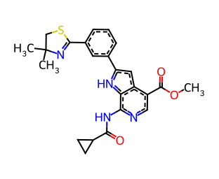 COC(=O)c1cnc(NC(=O)C2CC2)c2[nH]c(-c3cccc(C4=NC(C)(C)CS4)c3)cc12